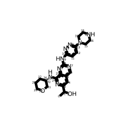 CC(O)c1cc2cnc(Nc3ccc(N4CCNCC4)nn3)nc2c(N[C@H]2CCCOC2)n1